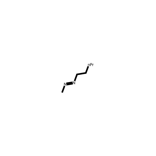 CCCCCN=NC